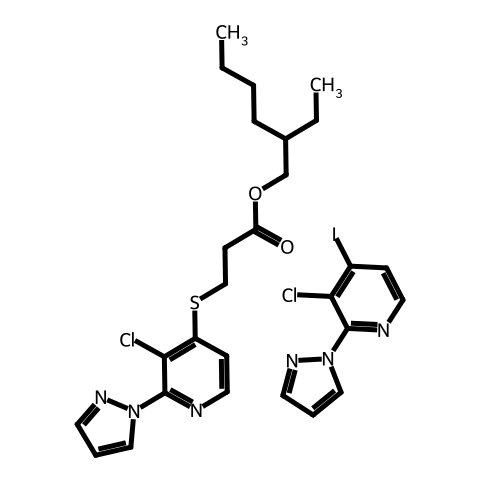 CCCCC(CC)COC(=O)CCSc1ccnc(-n2cccn2)c1Cl.Clc1c(I)ccnc1-n1cccn1